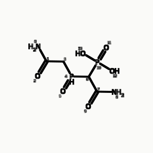 NC(=O)C[PH](=O)C(C(N)=O)P(=O)(O)O